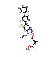 C=CCn1c(OCC2CC2C(=O)OCC)nc2cc(-c3ccc(-c4ccccc4)cc3)c(Cl)cc21